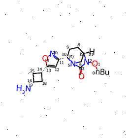 CCCCON1C(=O)N2C[C@@H]1CC[C@H]2c1cc([C@H]2C[C@@H](N)C2)on1